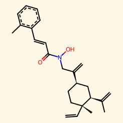 C=C[C@]1(C)CC[C@@H](C(=C)CN(O)C(=O)/C=C/c2ccccc2C)C[C@H]1C(=C)C